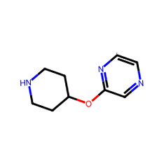 [c]1cncc(OC2CCNCC2)n1